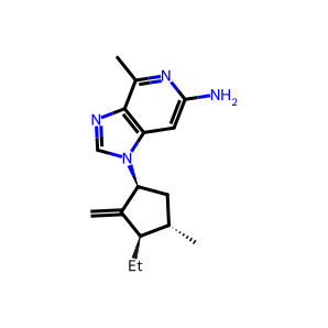 C=C1[C@H](CC)[C@@H](C)C[C@@H]1n1cnc2c(C)nc(N)cc21